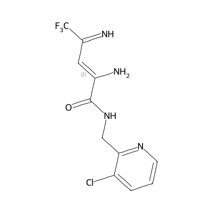 N=C(/C=C(\N)C(=O)NCc1ncccc1Cl)C(F)(F)F